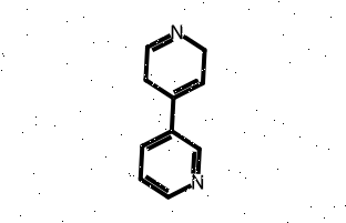 C1=NCC=C(c2cccnc2)C1